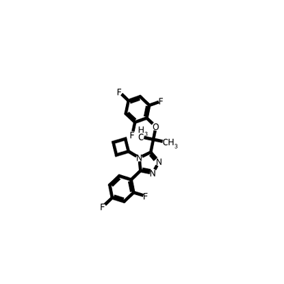 CC(C)(Oc1c(F)cc(F)cc1F)c1nnc(-c2ccc(F)cc2F)n1C1CCC1